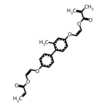 C=CC(=O)O/C=C\Oc1ccc(-c2ccc(O/C=C\OC(=O)C(=C)C)cc2C)cc1